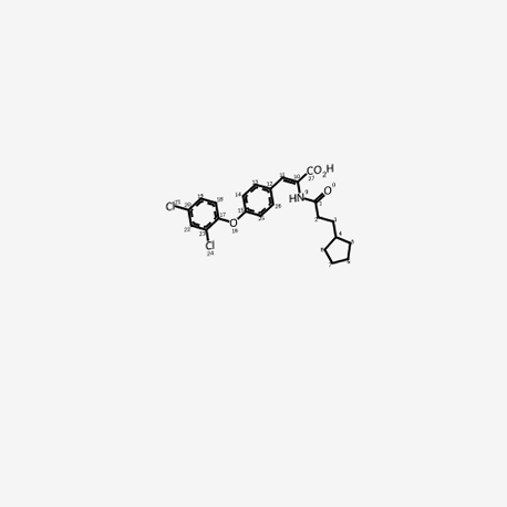 O=C(CCC1CCCC1)NC(=Cc1ccc(Oc2ccc(Cl)cc2Cl)cc1)C(=O)O